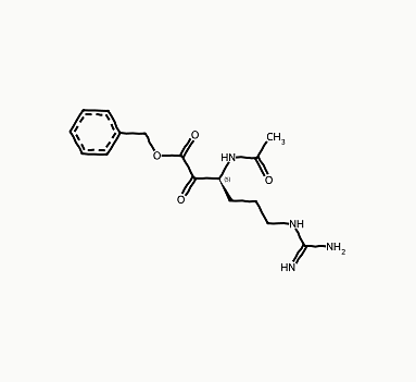 CC(=O)N[C@@H](CCCNC(=N)N)C(=O)C(=O)OCc1ccccc1